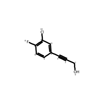 OCC#Cc1ccc(F)c(Cl)c1